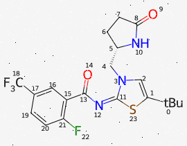 CC(C)(C)c1cn(C[C@@H]2CCC(=O)N2)c(=NC(=O)c2cc(C(F)(F)F)ccc2F)s1